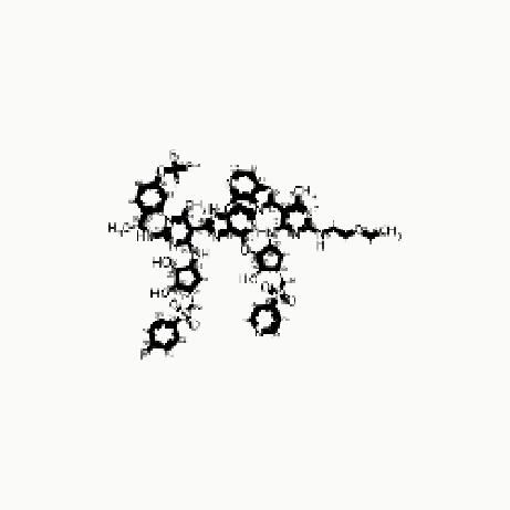 CCOCCNc1nc(C)c(-c2nc3c(C)nccc3s2)c(N[C@@H]2C[C@H](CS(=O)(=O)c3ccncc3)[C@@H](O)[C@H]2Oc2nccc3sc(-c4c(C)nc(N[C@H](C)c5ccc(OC(F)(F)F)cc5)nc4NC4C[C@H](CS(=O)(=O)c5ccc(F)cc5)[C@@H](O)[C@H]4O)nc23)n1